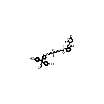 O=C(CCCCC(=O)Nc1cccc2c1CN(C1CCC(=O)NC1=O)C2=O)NCCOc1ccc(C(=C(CCCl)c2ccc(O)cc2)c2ccc(O)cc2)cc1